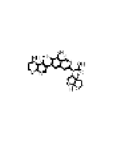 Cc1c(-c2cc3cc(N(C(=O)O)[C@H]4CO[C@H]5OCC[C@H]54)ncc3c(N)c2F)cnc2c1NCCO2